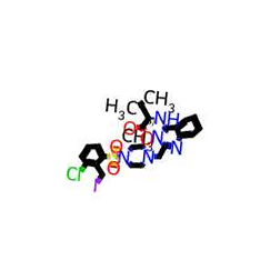 COC(=O)[C@@H](Nc1nc(CN2CCN(S(=O)(=O)c3cccc(Cl)c3CI)CC2)nc2ccccc12)C(C)C